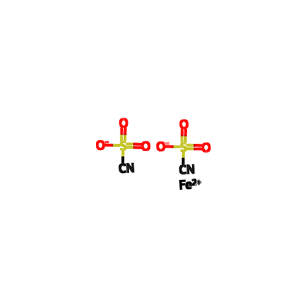 N#CS(=O)(=O)[O-].N#CS(=O)(=O)[O-].[Fe+2]